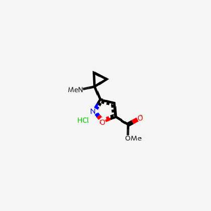 CNC1(c2cc(C(=O)OC)on2)CC1.Cl